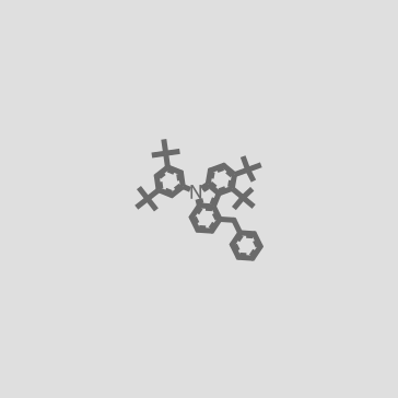 CC(C)(C)c1cc(-n2c3cccc(Cc4ccccc4)c3c3c(C(C)(C)C)c(C(C)(C)C)ccc32)cc(C(C)(C)C)c1